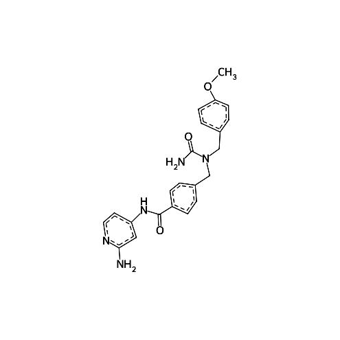 COc1ccc(CN(Cc2ccc(C(=O)Nc3ccnc(N)c3)cc2)C(N)=O)cc1